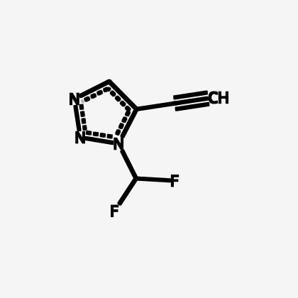 C#Cc1cnnn1C(F)F